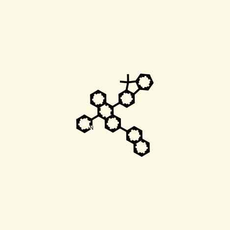 CC1(C)c2ccccc2-c2ccc(-c3c4ccccc4c(-c4ccccn4)c4ccc(-c5ccc6ccccc6c5)cc34)cc21